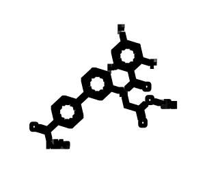 CNC(=O)c1ccc(-c2cccc(N(CC(=O)OC(C)(C)C)C(=O)c3c(F)cc(F)cc3F)c2)cc1